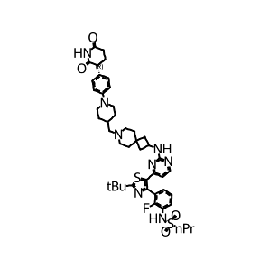 CCCS(=O)(=O)Nc1cccc(-c2nc(C(C)(C)C)sc2-c2ccnc(NC3CC4(CCN(CC5CCN(c6ccc([C@H]7CCC(=O)NC7=O)cc6)CC5)CC4)C3)n2)c1F